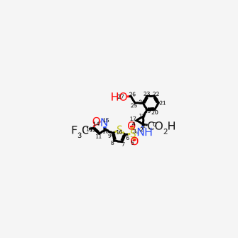 O=C(O)C1(NS(=O)(=O)c2ccc(-c3cc(C(F)(F)F)on3)s2)CC1c1ccccc1CCO